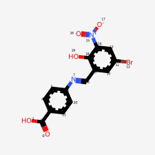 O=C(O)c1ccc(/N=C/c2cc(Br)cc([N+](=O)[O-])c2O)cc1